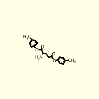 Cc1ccc(OC(=O)CC[C@H](N)C(=O)Oc2ccc(C)cc2)cc1